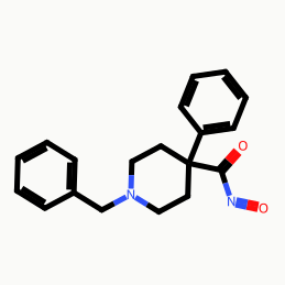 O=NC(=O)C1(c2ccccc2)CCN(Cc2ccccc2)CC1